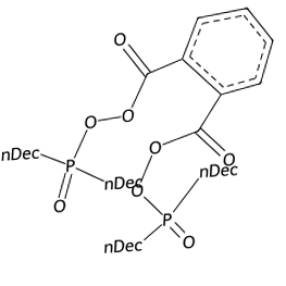 CCCCCCCCCCP(=O)(CCCCCCCCCC)OOC(=O)c1ccccc1C(=O)OOP(=O)(CCCCCCCCCC)CCCCCCCCCC